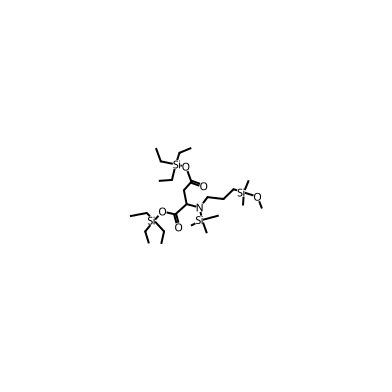 CC[Si](CC)(CC)OC(=O)CC(C(=O)O[Si](CC)(CC)CC)N(CCC[Si](C)(C)OC)[Si](C)(C)C